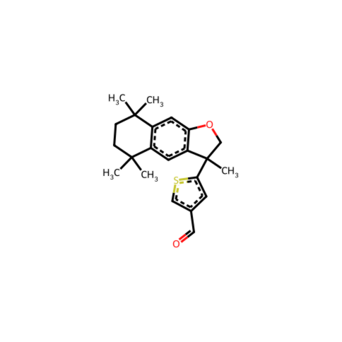 CC1(C)CCC(C)(C)c2cc3c(cc21)OCC3(C)c1cc(C=O)cs1